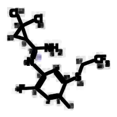 Cc1cc(F)c(/N=C(\N)C2CC2(Cl)Cl)cc1SCC(F)(F)F